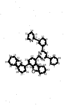 c1ccc(-c2cc(-c3cccc(-c4ccccn4)c3)nc(-c3ccc(-c4cccc5c4sc4ccccc45)c4oc5ccccc5c34)n2)cc1